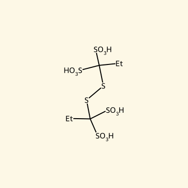 CCC(SSC(CC)(S(=O)(=O)O)S(=O)(=O)O)(S(=O)(=O)O)S(=O)(=O)O